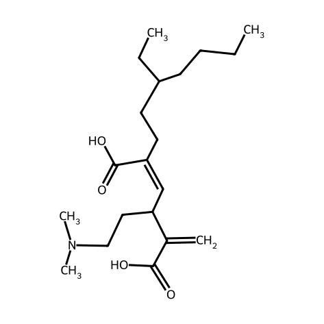 C=C(C(=O)O)C(C=C(CCC(CC)CCCC)C(=O)O)CCN(C)C